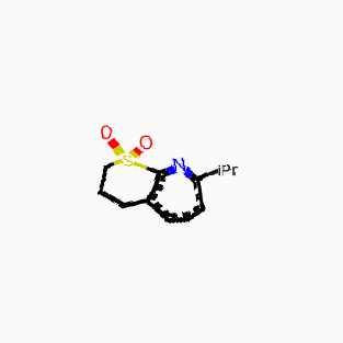 CC(C)c1ccc2c(n1)S(=O)(=O)CCC2